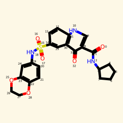 O=C(NC1CCCC1)c1c[nH]c2ccc(S(=O)(=O)Nc3ccc4c(c3)OCCO4)cc2c1=O